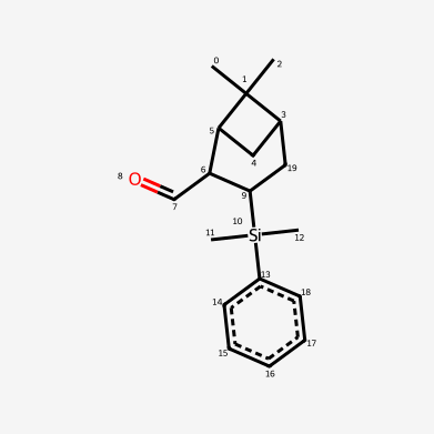 CC1(C)C2CC1C(C=O)C([Si](C)(C)c1ccccc1)C2